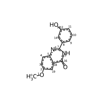 COc1ccc2nc(-c3cccc(O)c3)[nH]c(=O)c2c1